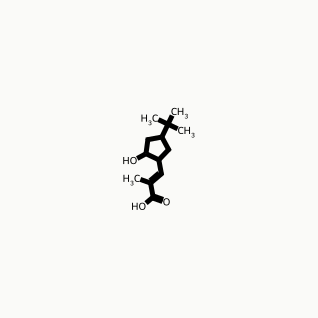 C/C(=C\C1CC(C(C)(C)C)CC1O)C(=O)O